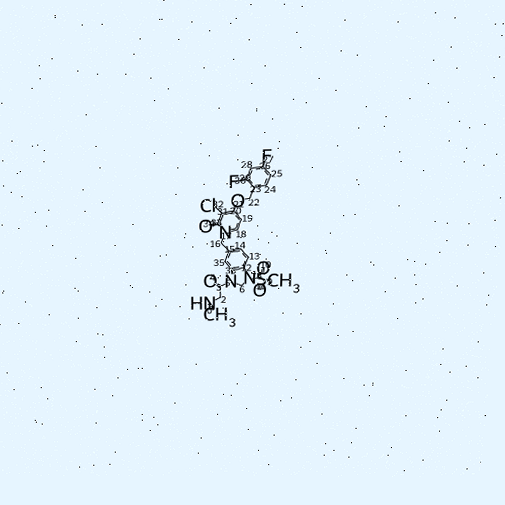 CNCC(=O)N1CN(S(C)(=O)=O)c2ccc(Cn3ccc(OCc4ccc(F)cc4F)c(Cl)c3=O)cc21